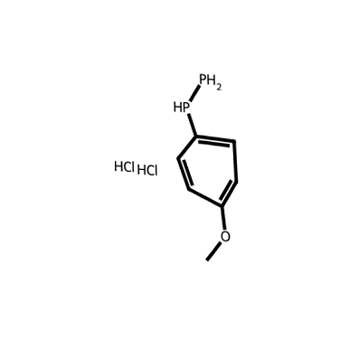 COc1ccc(PP)cc1.Cl.Cl